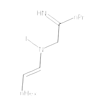 CCCCCCC=CN(I)CC(=N)CCC